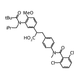 COc1ccc(C(Cc2ccc(N(C)C(=O)c3c(Cl)cccc3Cl)cc2)C(=O)O)cc1N(CC(C)C)C(=O)C(C)(C)C